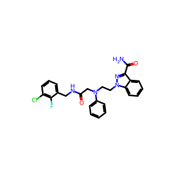 NC(=O)c1nn(CCN(CC(=O)NCc2cccc(Cl)c2F)c2ccccc2)c2ccccc12